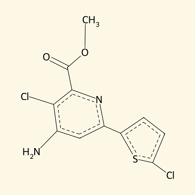 COC(=O)c1nc(-c2ccc(Cl)s2)cc(N)c1Cl